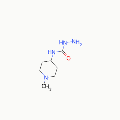 CN1CCC(NC(=O)NN)CC1